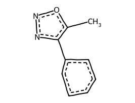 Cc1onnc1-c1ccccc1